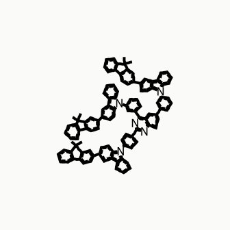 CC1(C)c2ccccc2-c2ccc(-c3ccc4c(c3)c3ccccc3n4-c3ccc(-c4nc(-c5cccc(-n6c7ccccc7c7cc(-c8ccc9c(c8)C(C)(C)c8ccccc8-9)ccc76)c5)c5cc(-c6cccc(-n7c8ccccc8c8cc(-c9ccc%10c(c9)C(C)(C)c9ccccc9-%10)ccc87)c6)ccc5n4)cc3)cc21